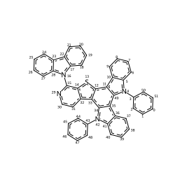 c1ccc(-n2c3ccccc3c3c4sc5c(-n6c7ccccc7c7ccccc76)nccc5c4c4c(c5ccccc5n4-c4ccccc4)c32)cc1